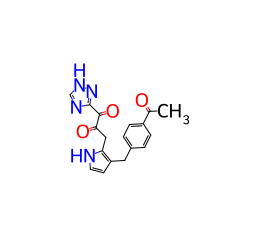 CC(=O)c1ccc(Cc2cc[nH]c2CC(=O)C(=O)c2nc[nH]n2)cc1